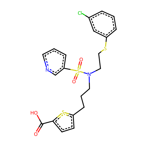 O=C(O)c1ccc(CCCN(CCSc2cccc(Cl)c2)S(=O)(=O)c2cccnc2)s1